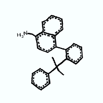 CC(C)(c1ccccc1)c1ccccc1-c1ccc(N)c2ccccc12